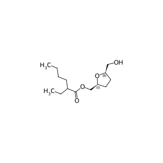 CCCCC(CC)C(=O)OC[C@@H]1CC[C@H](CO)O1